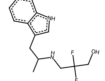 CC(Cc1c[nH]c2ccccc12)NCC(F)(F)CO